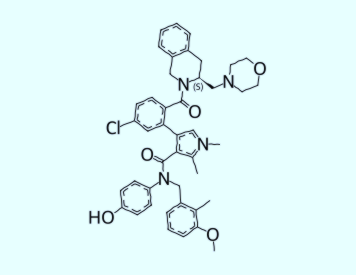 COc1cccc(CN(C(=O)c2c(-c3cc(Cl)ccc3C(=O)N3Cc4ccccc4C[C@H]3CN3CCOCC3)cn(C)c2C)c2ccc(O)cc2)c1C